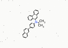 CC(C)N(c1ccc(-c2ccc3ccccc3c2)cc1)c1cc2ccccc2c2ccccc12